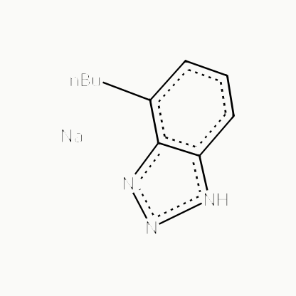 CCCCc1cccc2[nH]nnc12.[Na]